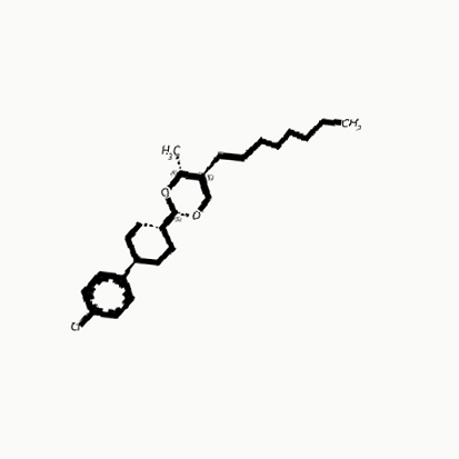 CCCCCCCC[C@H]1CO[C@H]([C@H]2CC[C@H](c3ccc(Cl)cc3)CC2)O[C@@H]1C